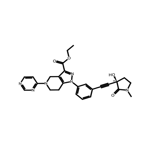 CCOC(=O)c1nn(-c2cccc(C#C[C@]3(O)CCN(C)C3=O)c2)c2c1CN(c1ccncn1)CC2